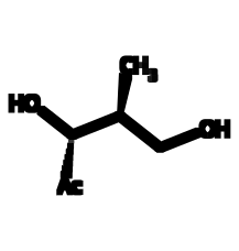 CC(=O)[C@H](O)[C@@H](C)CO